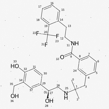 CC(C)(Cc1cccc(C(=O)NCCc2ccccc2C(F)(F)F)c1)NC[C@@H](O)c1ccc(O)c(CO)c1